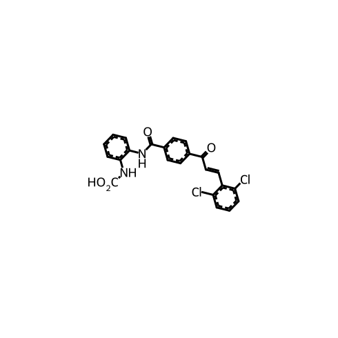 O=C(O)Nc1ccccc1NC(=O)c1ccc(C(=O)C=Cc2c(Cl)cccc2Cl)cc1